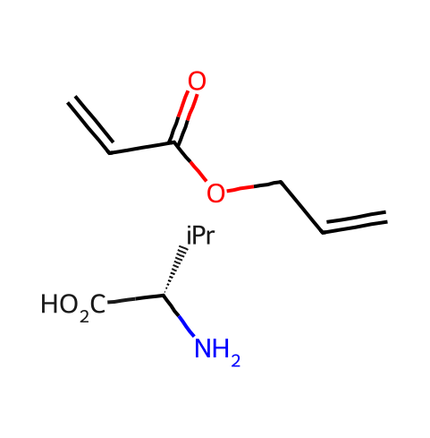 C=CCOC(=O)C=C.CC(C)[C@H](N)C(=O)O